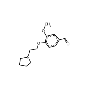 COc1cc(C=O)ccc1OCCN1CCCC1